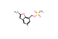 Cc1cc2cc(F)cc(COS(C)(=O)=O)c2o1